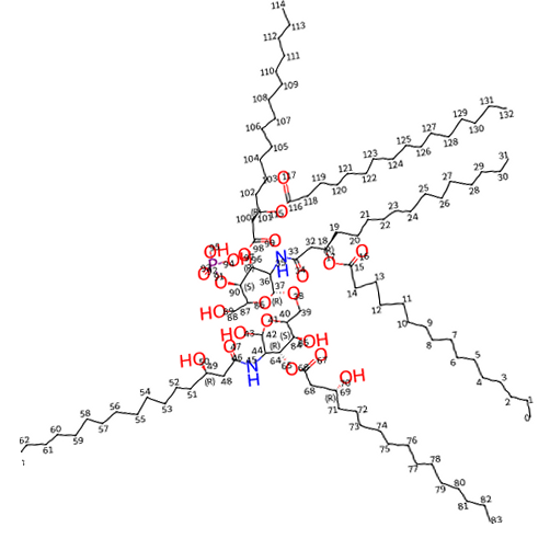 CCCCCCCCCCCCCCCC(=O)O[C@H](CCCCCCCCCCCCC)CC(=O)NC1[C@H](OCC2OC(O)C(NC(=O)C[C@H](O)CCCCCCCCCCCCC)[C@@H](OC(=O)C[C@H](O)CCCCCCCCCCCCC)[C@@H]2O)OC(CO)[C@@H](OP(=O)(O)O)[C@@H]1OC(=O)C[C@@H](CCCCCCCCCCCCC)OC(=O)CCCCCCCCCCCCCCC